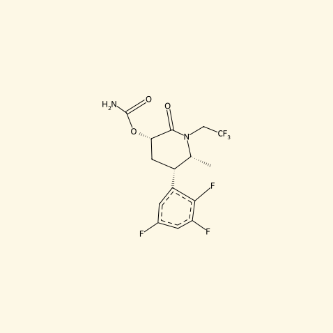 C[C@@H]1[C@H](c2cc(F)cc(F)c2F)C[C@H](OC(N)=O)C(=O)N1CC(F)(F)F